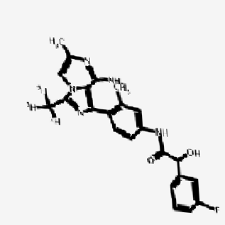 [2H]C([2H])([2H])c1nc(-c2ccc(NC(=O)C(O)c3cccc(F)c3)cc2C)c2c(N)nc(C)cn12